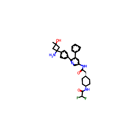 CC1(O)CC(N)(c2ccc(-c3ncc(NC(=O)C[C@H]4CC[C@H](NC(=O)C(F)F)CC4)cc3-c3ccccc3)cc2)C1